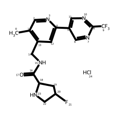 Cc1cnc(-c2cnc(C(F)(F)F)nc2)cc1CNC(=O)C1CC(F)CN1.Cl